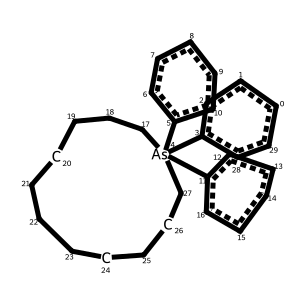 c1ccc([As]2(c3ccccc3)(c3ccccc3)CCCCCCCCCCC2)cc1